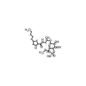 CCCCCC1CNC(C(=O)NCC(C)CC2OC(CCC)C(OP(=O)(O)O)C(O)C2O)C1